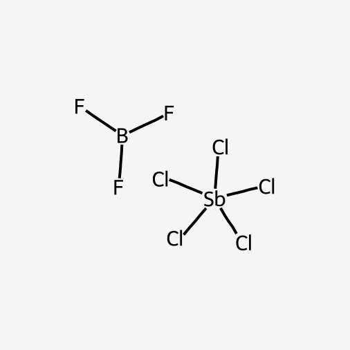 FB(F)F.[Cl][Sb]([Cl])([Cl])([Cl])[Cl]